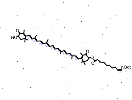 CCCCCCCC/C=C\CCCCCCCC(=O)OC1CC(C)(C)C(/C=C/C(C)=C/C=C/C(C)=C/C=C/C=C(C)/C=C/C=C(C)/C=C/C2=C(C)C(=O)C(O)CC2(C)C)=C(C)C1=O